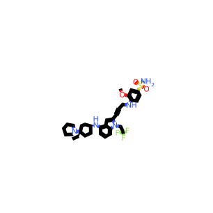 CC[C@]1(N2CCCCC2)CC[C@H](Nc2cccc3c2cc(C#CCNc2ccc(S(N)(=O)=O)cc2OC)n3CC(F)(F)F)CC1